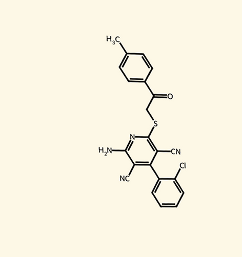 Cc1ccc(C(=O)CSc2nc(N)c(C#N)c(-c3ccccc3Cl)c2C#N)cc1